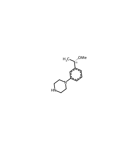 CO[C@@H](C)c1cccc(N2CCNCC2)c1